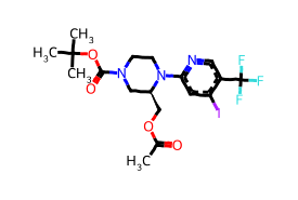 CC(=O)OC[C@H]1CN(C(=O)OC(C)(C)C)CCN1c1cc(I)c(C(F)(F)F)cn1